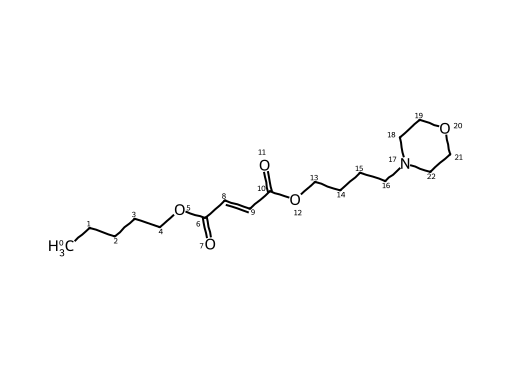 CCCCCOC(=O)C=CC(=O)OCCCCN1CCOCC1